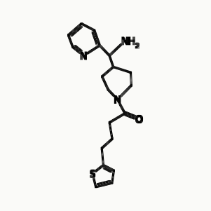 NC(c1ccccn1)C1CCN(C(=O)CCCc2cccs2)CC1